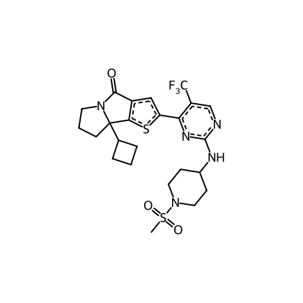 CS(=O)(=O)N1CCC(Nc2ncc(C(F)(F)F)c(-c3cc4c(s3)C3(C5CCC5)CCCN3C4=O)n2)CC1